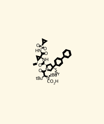 C=C[C@@H]1C[C@]1(NC(=O)[C@@H]1C[C@@](SC(C)C)(c2ccc(-c3ccccc3)cc2)CN1C(=O)[C@@H](N(C(=O)O)C(C)(C)C)C(C)(C)C)C(=O)NS(=O)(=O)C1CC1